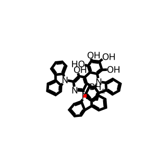 Bc1c(-n2c3ccccc3c3ccccc32)nc(-n2c3ccccc3c3ccccc32)c(O)c1-c1c(O)c(O)c(O)c(O)c1-n1c2ccccc2c2ccccc21